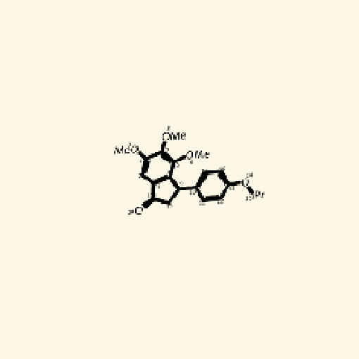 COc1cc2c(c(OC)c1OC)C(c1ccc(OC(C)C)cc1)CC2=O